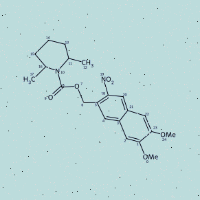 COc1cc2cc(COC(=O)N3C(C)CCCC3C)c([N+](=O)[O-])cc2cc1OC